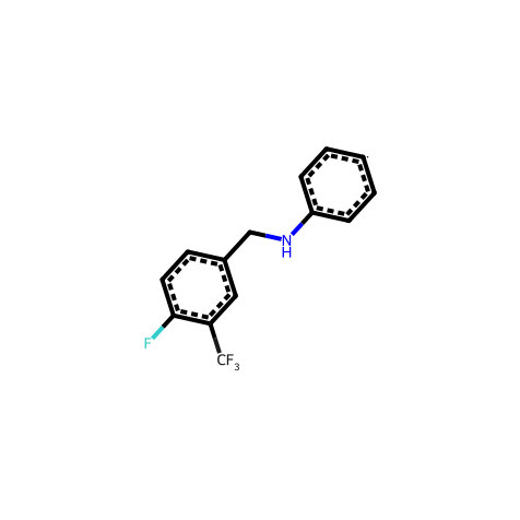 Fc1ccc(CNc2cc[c]cc2)cc1C(F)(F)F